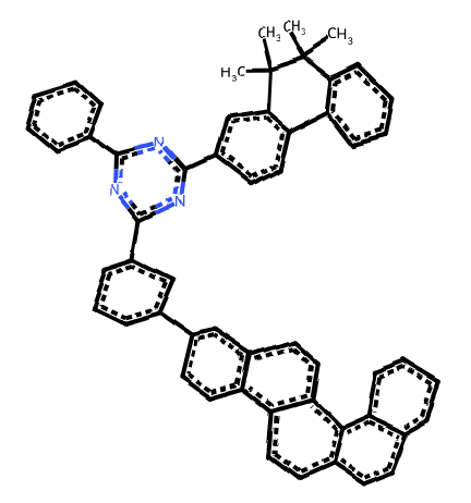 CC1(C)c2ccccc2-c2ccc(-c3nc(-c4ccccc4)nc(-c4cccc(-c5ccc6c(ccc7c6ccc6ccc8ccccc8c67)c5)c4)n3)cc2C1(C)C